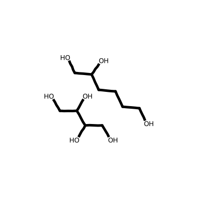 OCC(O)C(O)CO.OCCCCC(O)CO